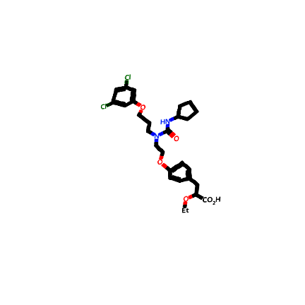 CCOC(Cc1ccc(OCCN(CCCOc2cc(Cl)cc(Cl)c2)C(=O)NC2CCCC2)cc1)C(=O)O